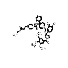 CCOC(=O)CCN1CCN(C(=O)NC2(c3ccccc3)CCN(CC[C@]3(c4ccc(Cl)c(Cl)c4)CCN(C(=O)c4cc(OC)c(OC)c(OC)c4)C3)CC2)CC1